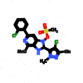 COc1nc(-c2ccccc2Cl)cc2c1NC(c1c(Cl)c(C(C)(C)C)nn1C)N2OS(C)(=O)=O